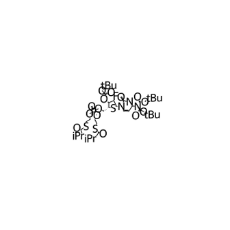 CC(C)C(=O)SCCOP(=O)(OCCSC(=O)C(C)C)OC[C@H]1S[C@@H](n2ccc(N(C(=O)OC(C)(C)C)C(=O)OC(C)(C)C)nc2=O)[C@@H](F)[C@@H]1OC(=O)OC(C)(C)C